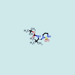 CC(C)(C)OC(=O)N[C@H](CN1CCCNS1(=O)=O)C(C)(C)C